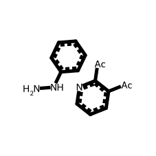 CC(=O)c1cccnc1C(C)=O.NNc1ccccc1